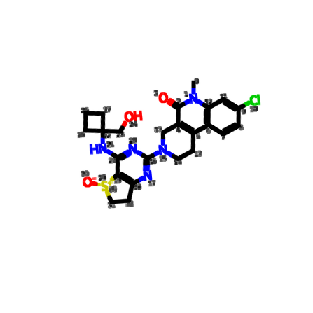 Cn1c(=O)c2c(c3ccc(Cl)cc31)CCN(c1nc3c(c(NC4(CO)CCC4)n1)[S@+]([O-])CC3)C2